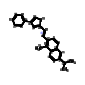 CN(C)c1ccc2c(ccc(/C=C/c3cc(-c4ccccc4)cs3)[n+]2C)c1